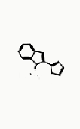 C[Si](C)=C1C(C2=CC=CC2)=[C]c2ccccc21